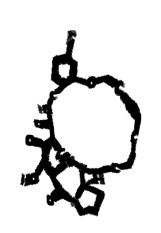 O=C1NCc2ccc(F)cc2OCC/C=C\CCCCCN2[C@H]3CCCN3C(=O)c3c(O)c(=O)c1cn32